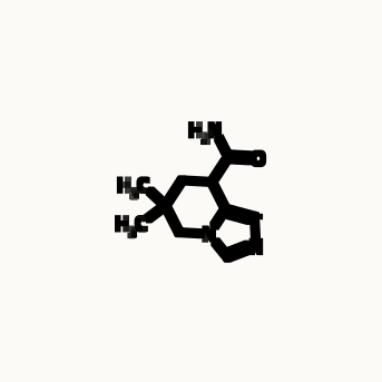 CC1(C)CC(C(N)=O)c2[c]ncn2C1